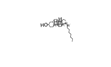 CCCCCCC[C@@H](C)[C@H]1CC[C@H]2[C@@H]3CCC4CC(O)CC[C@]4(C)[C@H]3CC[C@]12C